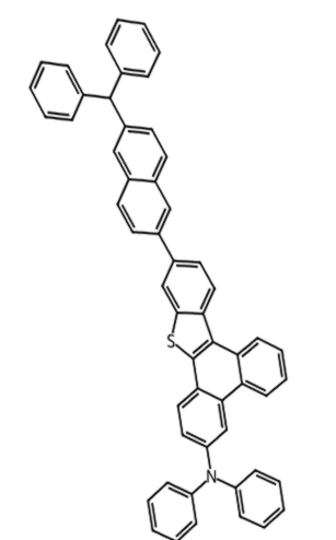 c1ccc(C(c2ccccc2)c2ccc3cc(-c4ccc5c(c4)sc4c6ccc(N(c7ccccc7)c7ccccc7)cc6c6ccccc6c54)ccc3c2)cc1